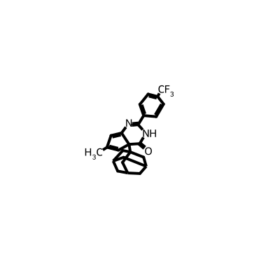 CC1=CC2(C34CC5CC(CC(C5)C3)C4)C(=O)NC(c3ccc(C(F)(F)F)cc3)=NC2=C1